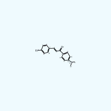 CCc1ccc(C=CC(=O)c2ccc(N(C)C)cc2)cc1